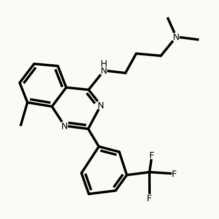 Cc1cccc2c(NCCCN(C)C)nc(-c3cccc(C(F)(F)F)c3)nc12